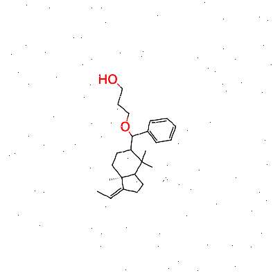 C/C=C1/CCC2C(C)(C)C(C(OCCCO)c3ccccc3)CC[C@]12C